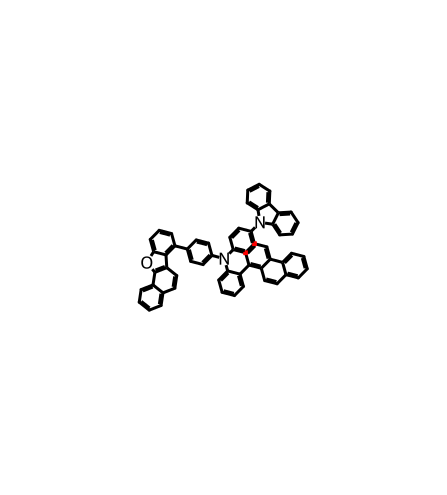 c1ccc(N(c2ccc(-c3cccc4oc5c6ccccc6ccc5c34)cc2)c2ccc(-n3c4ccccc4c4ccccc43)cc2)c(-c2cccc3c2ccc2ccccc23)c1